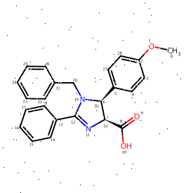 COc1ccc([C@H]2[C@@H](C(=O)O)N=C(c3ccccc3)N2Cc2ccccc2)cc1